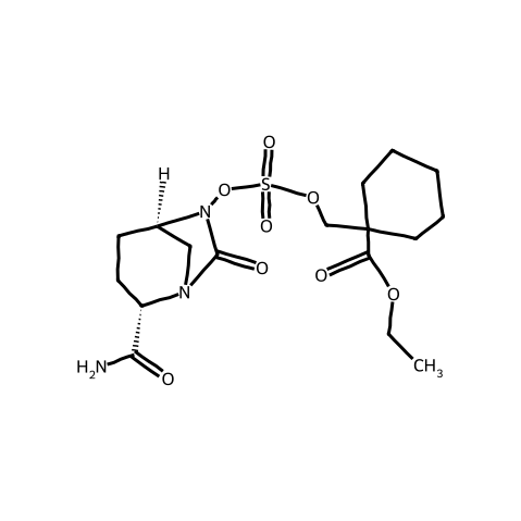 CCOC(=O)C1(COS(=O)(=O)ON2C(=O)N3C[C@H]2CC[C@H]3C(N)=O)CCCCC1